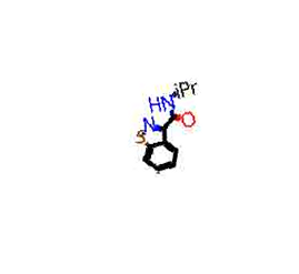 CC(C)NC(=O)c1nsc2c[c]ccc12